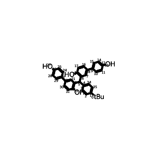 CC(C)(C)c1ccc(C(c2cc(-c3ccc(O)cc3)ccc2O)c2cc(-c3ccc(O)cc3)ccc2O)cc1